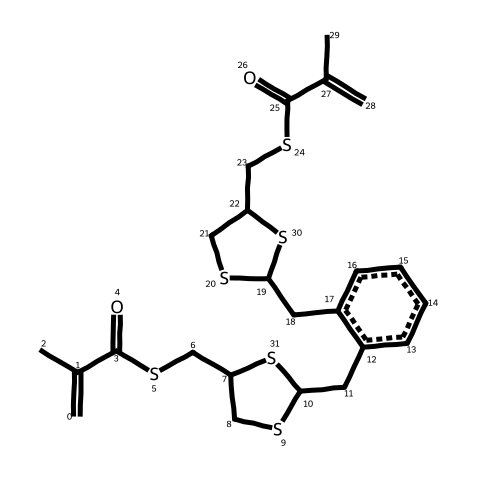 C=C(C)C(=O)SCC1CSC(Cc2ccccc2CC2SCC(CSC(=O)C(=C)C)S2)S1